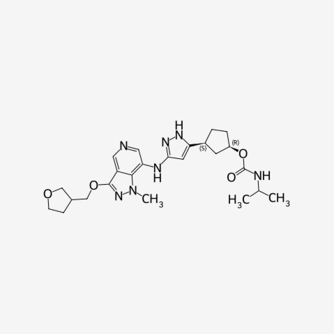 CC(C)NC(=O)O[C@@H]1CC[C@H](c2cc(Nc3cncc4c(OCC5CCOC5)nn(C)c34)n[nH]2)C1